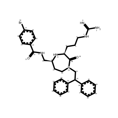 N=C(N)NCCC[C@@H]1N[C@H](CNC(=O)c2ccc(Br)cc2)CCN(CC(c2ccccc2)c2ccccc2)C1=O